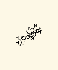 CCCCC(CC)COc1c(Br)sc(C=C2C(=O)c3cc(F)c(F)cc3C2=C(C#N)C#N)c1C#N